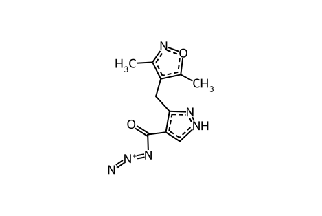 Cc1noc(C)c1Cc1n[nH]cc1C(=O)N=[N+]=[N-]